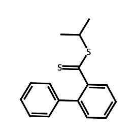 CC(C)SC(=S)c1ccccc1-c1ccccc1